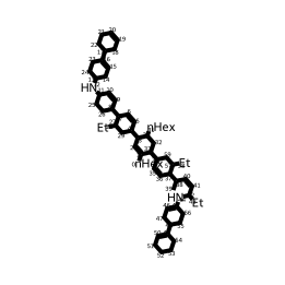 CCCCCCC1=CC(C2C=CC(C3C=CC(NC4CC=C(C5CC=CCC5)CC4)CC3)C(CC)C2)C(CCCCCC)CC1C1C=CC(C(C)/C=C\C(CC)NC2=CCC(C3=CCCCC3)CC2)C(CC)C1